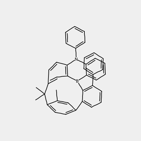 Cc1cc2ccc1C(C)(C)c1ccc3c(c1)B(c1ccccc1N3c1ccccc1)c1c(-c3ccccc3)cccc1-2